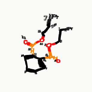 CC(C)CCO[PH](=O)c1ccccc1[PH](=O)OCCC(C)C